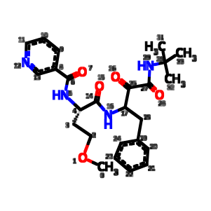 COCC[C@H](NC(=O)c1cccnc1)C(=O)NC(Cc1ccccc1)C(=O)C(=O)NC(C)(C)C